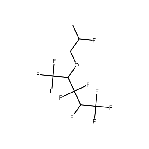 CC(F)COC(C(F)(F)F)C(F)(F)C(F)C(F)(F)F